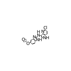 Clc1ccc2[nH]cc(Nc3nc4cc(OC5COC5)ccc4[nH]3)c2n1